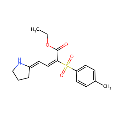 CCOC(=O)/C(=C\C=C1/CCCN1)S(=O)(=O)c1ccc(C)cc1